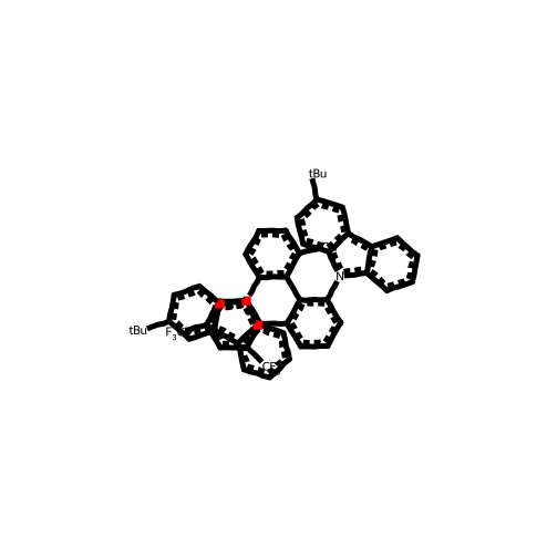 CC(C)(C)c1ccc2c(c1)c1ccccc1n2-c1cccc(C#N)c1-c1c(-c2ccc(C(F)(F)F)cc2C(F)(F)F)cccc1-n1c2ccccc2c2cc(C(C)(C)C)ccc21